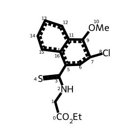 CCOC(=O)CNC(=S)c1cc(Cl)c(OC)c2ccccc12